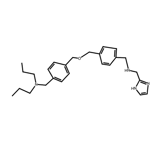 CCCN(CCC)Cc1ccc(COCc2ccc(CNCc3ncc[nH]3)cc2)cc1